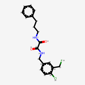 O=C(NCCCc1ccccc1)C(=O)NCc1ccc(Cl)c(CF)c1